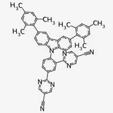 Cc1cc(C)c(-c2ccc3c(c2)c2cc(-c4c(C)cc(C)cc4C)ccc2n3-c2ccc(-c3ncc(C#N)cn3)cc2-c2ncc(C#N)cn2)c(C)c1